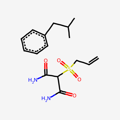 C=CCS(=O)(=O)C(C(N)=O)C(N)=O.CC(C)Cc1ccccc1